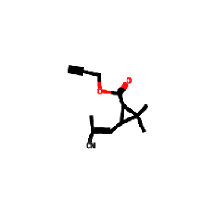 C#CCOC(=O)C1C(C=C(C)C#N)C1(C)C